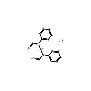 O=C[N]([Ti+2][N](C=O)c1ccccc1)c1ccccc1.[F-].[F-]